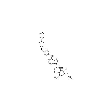 COc1cc(C)c(Cl)c(NC(=O)c2csc3c(Nc4ccc(CN5CCC(N6CCOCC6)CC5)cn4)ncnc23)c1Cl